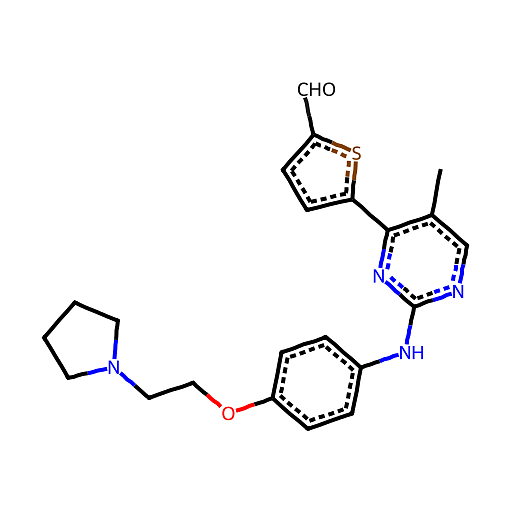 Cc1cnc(Nc2ccc(OCCN3CCCC3)cc2)nc1-c1ccc(C=O)s1